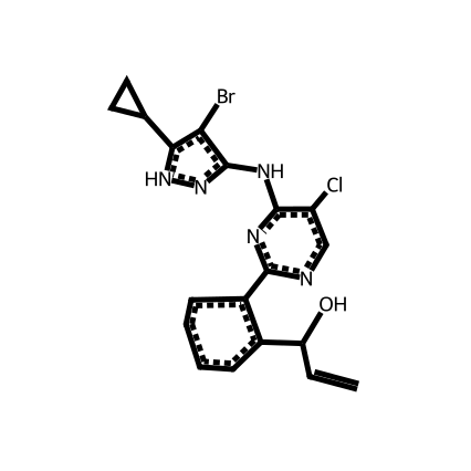 C=CC(O)c1ccccc1-c1ncc(Cl)c(Nc2n[nH]c(C3CC3)c2Br)n1